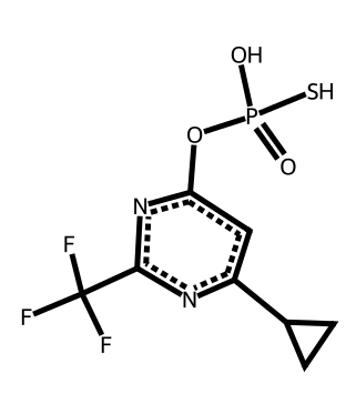 O=P(O)(S)Oc1cc(C2CC2)nc(C(F)(F)F)n1